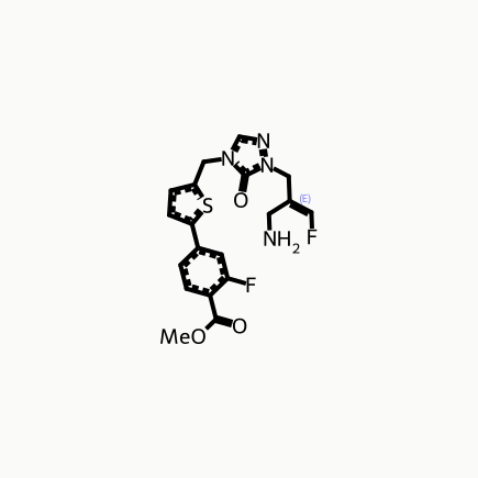 COC(=O)c1ccc(-c2ccc(Cn3cnn(C/C(=C/F)CN)c3=O)s2)cc1F